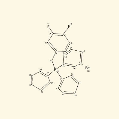 Fc1ccc(C[P+](c2ccccc2)(c2ccccc2)c2ccccc2)cc1F.[Br-]